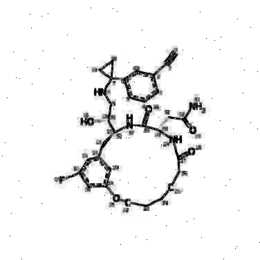 C#Cc1cccc(C2(NC[C@@H](O)[C@@H]3Cc4cc(F)cc(c4)OCCCCCC(=O)N[C@@H](CC(N)=O)C(=O)N3)CC2)c1